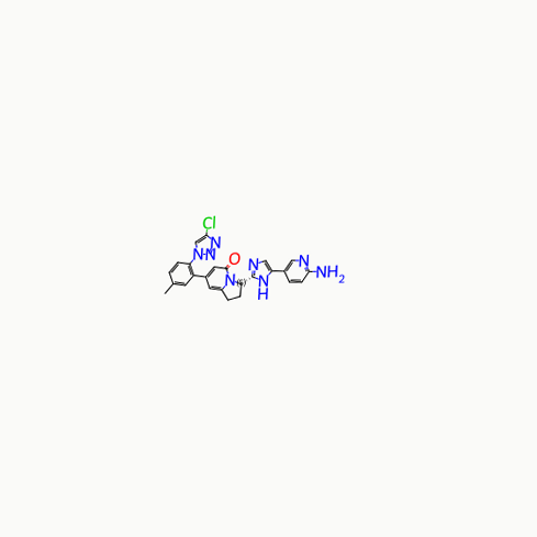 Cc1ccc(-n2cc(Cl)nn2)c(-c2cc3n(c(=O)c2)[C@H](c2ncc(-c4ccc(N)nc4)[nH]2)CC3)c1